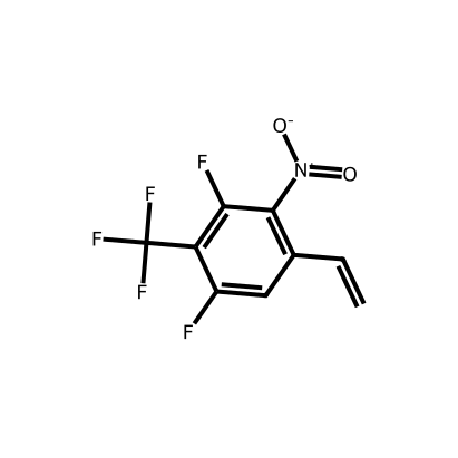 C=Cc1cc(F)c(C(F)(F)F)c(F)c1[N+](=O)[O-]